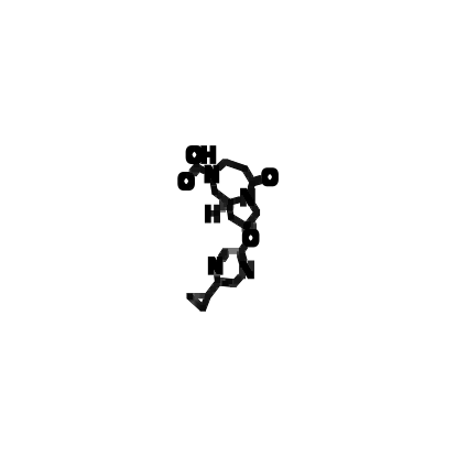 O=C(O)N1CCC(=O)N2C[C@H](Oc3cnc(C4CC4)cn3)C[C@H]2C1